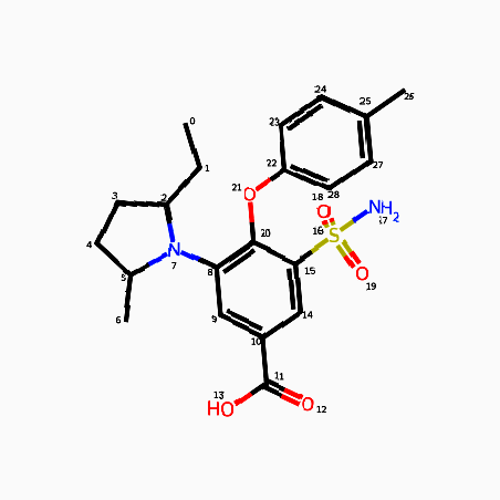 CCC1CCC(C)N1c1cc(C(=O)O)cc(S(N)(=O)=O)c1Oc1ccc(C)cc1